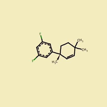 CC1(C)C=C[C@](C)(c2cc(F)cc(F)c2)CC1